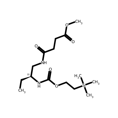 CC[C@@H](CNC(=O)CCC(=O)OC)NC(=O)OCC[Si](C)(C)C